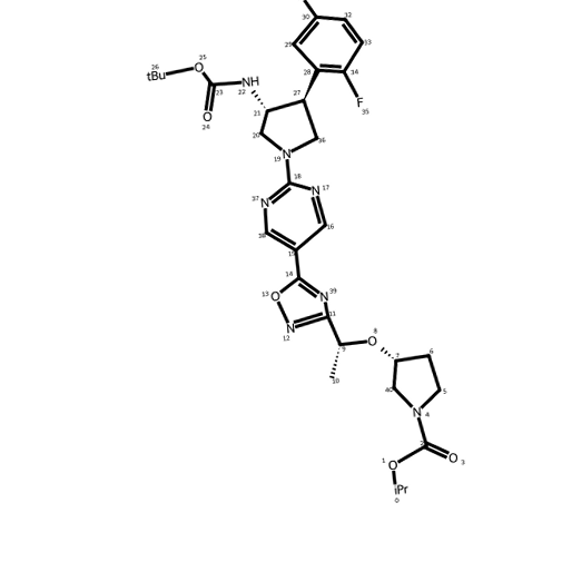 CC(C)OC(=O)N1CC[C@@H](O[C@H](C)c2noc(-c3cnc(N4C[C@H](NC(=O)OC(C)(C)C)[C@@H](c5cc(F)ccc5F)C4)nc3)n2)C1